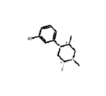 C[C@@H]1CN(c2cccc(O)c2)[C@@H](C)CN1C